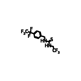 FC(F)(F)CNC(=S)NCc1ccc(C(F)(F)C(F)(F)F)cc1